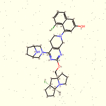 Oc1cc(N2CCc3c(nc(OC[C@@]45CCCN4[C@H]4CCC[C@@]4(F)C5)nc3N3CC4CCC(C3)N4)C2)c2c(F)cccc2c1